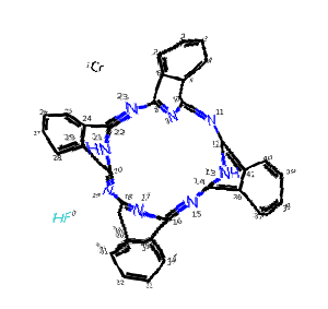 F.[Cr].c1ccc2c(c1)-c1nc-2nc2[nH]c(nc3nc(nc4[nH]c(n1)c1ccccc41)-c1ccccc1-3)c1ccccc21